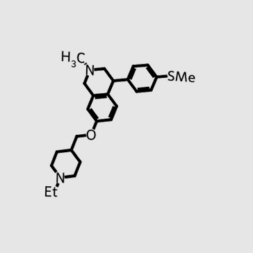 CCN1CCC(COc2ccc3c(c2)CN(C)CC3c2ccc(SC)cc2)CC1